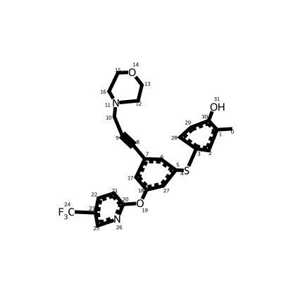 Cc1cc(Sc2cc(C#CCN3CCOCC3)cc(Oc3ccc(C(F)(F)F)cn3)c2)ccc1O